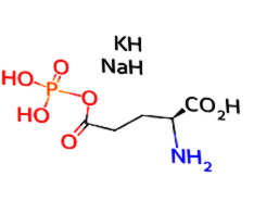 N[C@@H](CCC(=O)OP(=O)(O)O)C(=O)O.[KH].[NaH]